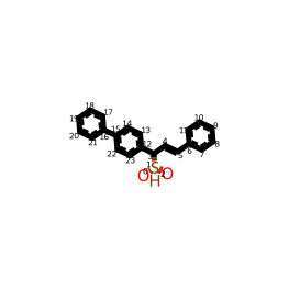 O=[SH](=O)C(C=Cc1ccccc1)c1ccc(-c2ccccc2)cc1